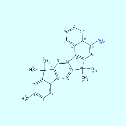 Cc1ccc2c(c1)C(C)(C)c1cc3c(cc1-2)C(C)(C)c1cc(N)c2ccccc2c1-3